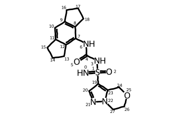 N=S(=O)(NC(=O)Nc1c2c(cc3c1CCC3)CCC2)c1cnn2c1COCC2